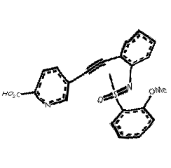 COc1ccccc1S(C)(=O)=Nc1ccccc1C#Cc1ccc(C(=O)O)nc1